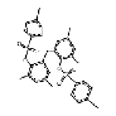 Cc1ccc(S(=O)(=O)Oc2c(C)cc(C)cc2Cc2cc(C)cc(C)c2OS(=O)(=O)c2ccc(C)cc2)cc1